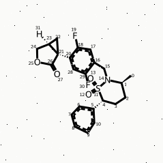 C[C@H]1CC[C@H](c2ccccc2)S(=O)(=O)N1Cc1cc(F)c([C@@]23C[C@@H]2COC3=O)cc1F